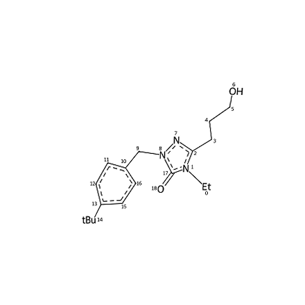 CCn1c(CCCO)nn(Cc2ccc(C(C)(C)C)cc2)c1=O